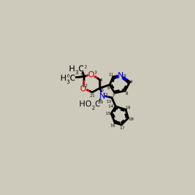 CC1(C)OCC(c2cccnc2)(N(Cc2ccccc2)C(=O)O)CO1